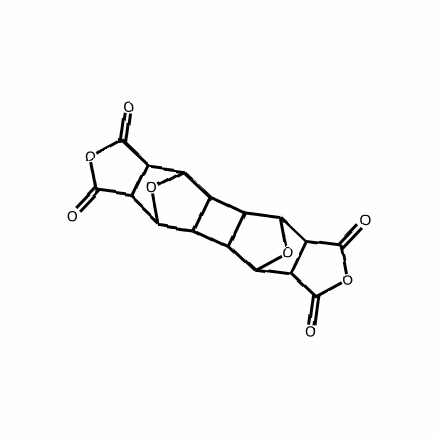 O=C1OC(=O)C2C3OC(C12)C1C3C2C3OC(C4C(=O)OC(=O)C34)C12